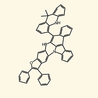 CC1(C)c2ccccc2Nc2c(-c3c4c5c(c6ccccc36)c3ccccc3n5-c3cc5c(-c6ccccc6)c(-c6ccccc6)oc5cc3B4)cccc21